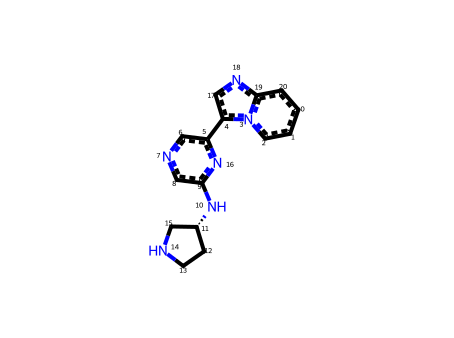 c1ccn2c(-c3cncc(N[C@@H]4CCNC4)n3)cnc2c1